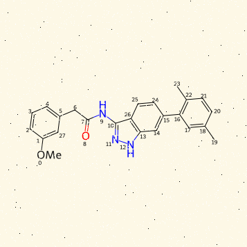 COc1cccc(CC(=O)Nc2n[nH]c3cc(-c4cc(C)ccc4C)ccc23)c1